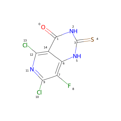 O=c1[nH]c(=S)[nH]c2c(F)c(Cl)nc(Cl)c12